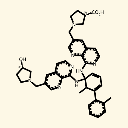 Cc1ccccc1C1=CC=CC(Nc2nccc3cc(CN4CC[C@@H](O)C4)cnc23)(Nc2nccc3cc(CN4CC[C@@H](C(=O)O)C4)cnc23)C1C